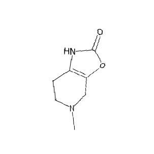 CN1CCc2[nH]c(=O)oc2C1